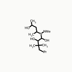 CNN(C(C)CC(C)O)C(O)C(O)C(C)(C)CC(C)C